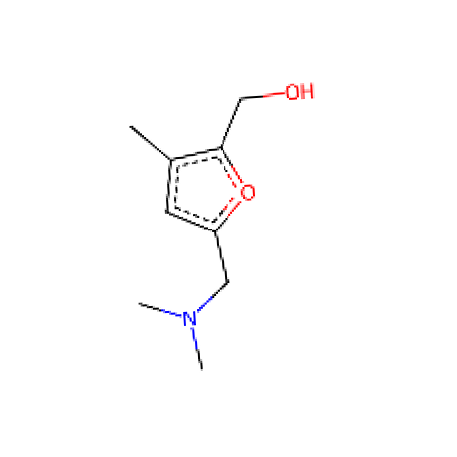 Cc1cc(CN(C)C)oc1CO